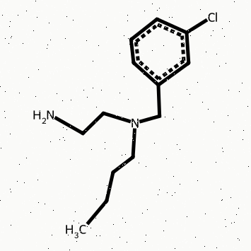 CCCCN(CCN)Cc1cccc(Cl)c1